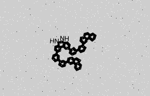 N=C1C(=N)c2ccc(-c3cccc(-c4cccc(-c5ccc6ccc7ccccc7c6c5)c4)c3)cc2-c2cc(-c3cccc(-c4cccc(-c5ccc6ccc7ccccc7c6c5)c4)c3)ccc21